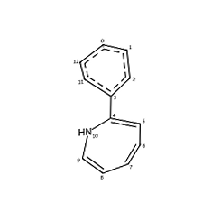 [c]1ccc(C2=CC=CC=CN2)cc1